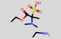 CCN.CCOC(=O)C(C)(N(C)C)S(=O)(=O)O